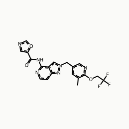 Cc1cc(Cn2cc3c(NC(=O)c4cnco4)nccc3n2)cnc1OCC(F)(F)F